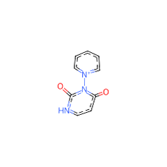 O=c1cc[nH]c(=O)n1-[n+]1ccccc1